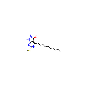 CCCCCCCCCCc1nc(SC)nc2c1c(=O)n(C)n2C